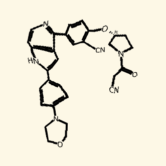 N#CCC(=O)N1CC[C@@H](Oc2ccc(-c3nccc4[nH]c(-c5ccc(N6CCOCC6)cc5)cc34)cc2C#N)C1